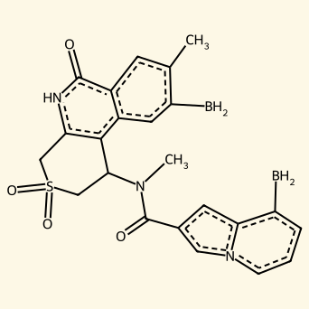 Bc1cc2c3c([nH]c(=O)c2cc1C)CS(=O)(=O)CC3N(C)C(=O)c1cc2c(B)cccn2c1